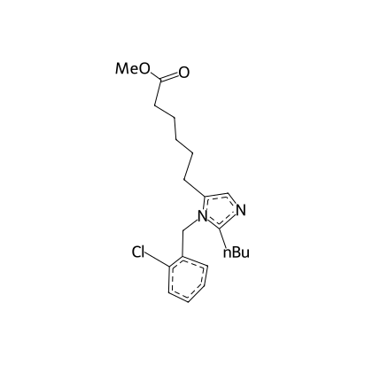 CCCCc1ncc(CCCCCC(=O)OC)n1Cc1ccccc1Cl